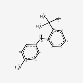 CCCC(C)(C)c1ccccc1Nc1ccc(N)cc1